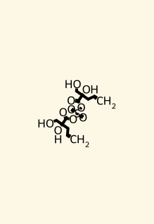 C=CCC(O)(CO)C(=O)OS(=O)(=O)OC(=O)C(O)(CO)CC=C